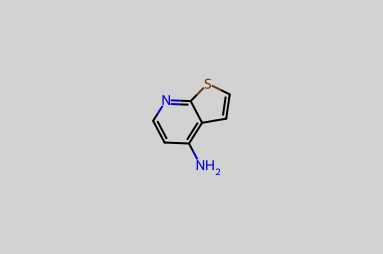 Nc1ccnc2sccc12